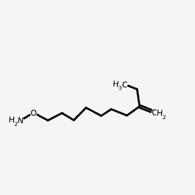 C=C(CC)CCCCCCCON